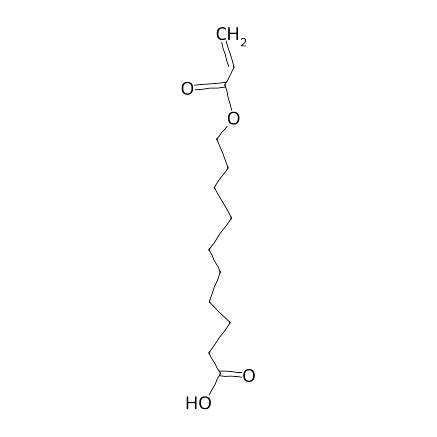 C=CC(=O)OCCCCCCCCCC(=O)O